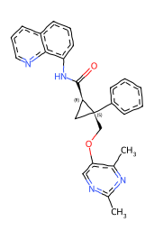 Cc1ncc(OC[C@@]2(c3ccccc3)C[C@H]2C(=O)Nc2cccc3cccnc23)c(C)n1